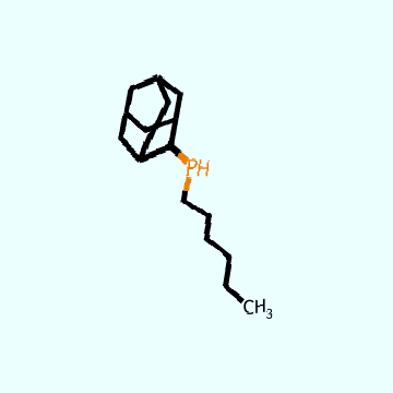 CCCCCCPC1C2CC3CC(C2)CC1C3